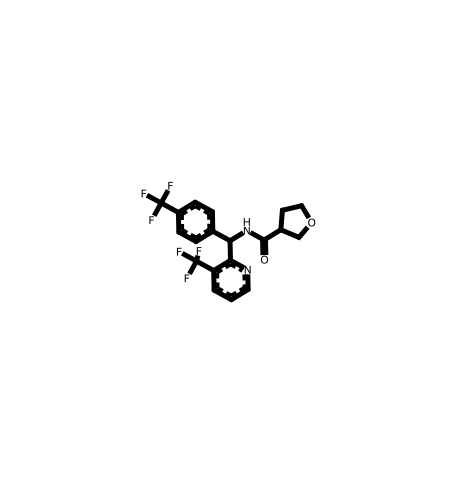 O=C(NC(c1ccc(C(F)(F)F)cc1)c1ncccc1C(F)(F)F)C1CCOC1